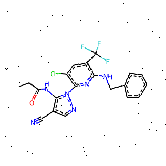 CCC(=O)Nc1c(C#N)cnn1-c1nc(NCc2ccccc2)c(C(F)(F)F)cc1Cl